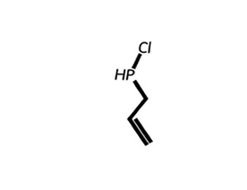 C=CCPCl